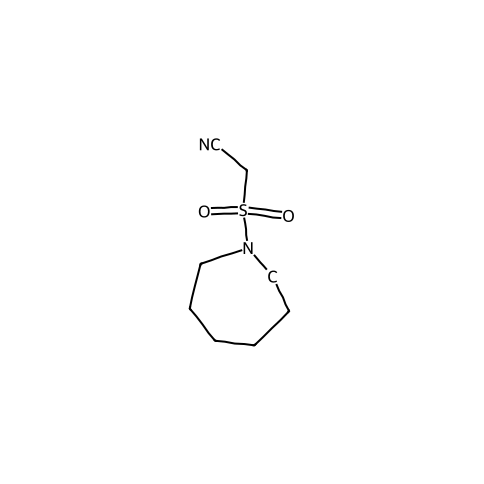 N#CCS(=O)(=O)N1CCCCCC1